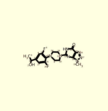 CC(O)c1cc(F)c(N2CCN(c3nc4c(nnn4C)c(=O)[nH]3)CC2)c(F)c1